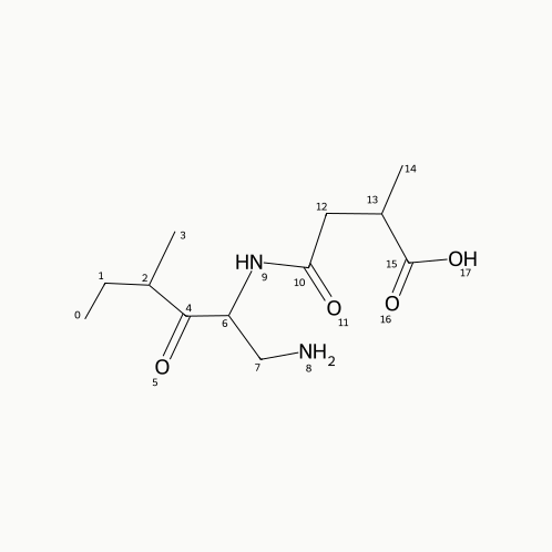 CCC(C)C(=O)C(CN)NC(=O)CC(C)C(=O)O